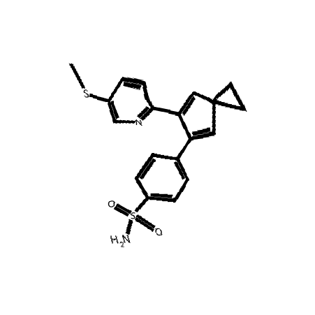 CSc1ccc(C2=CC3(C=C2c2ccc(S(N)(=O)=O)cc2)CC3)nc1